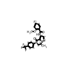 COc1cc(F)ccc1C(=O)Nc1cnn2c1C(=O)N(c1ccc(C(F)(F)F)cc1)C[C@@H]2C